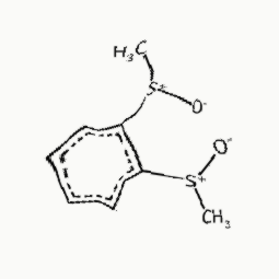 C[S+]([O-])c1[c]cccc1[S+](C)[O-]